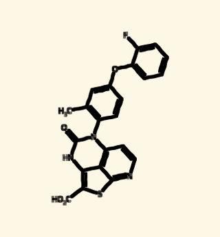 Cc1cc(Oc2ccccc2F)ccc1N1C(=O)Nc2c(C(=O)O)sc3nccc1c23